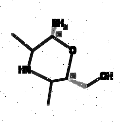 B[C@@H]1O[C@H](CO)C(C)NC1C